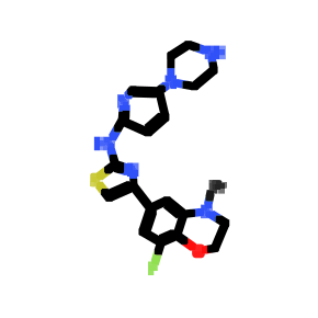 CC(C)N1CCOc2c(F)cc(-c3csc(Nc4ccc(N5CCNCC5)cn4)n3)cc21